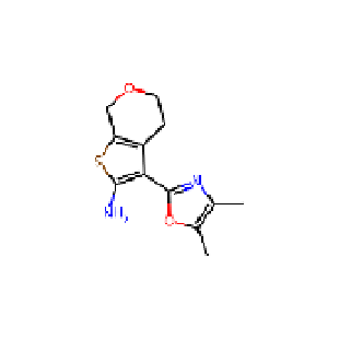 Cc1nc(-c2c(N)sc3c2CCOC3)oc1C